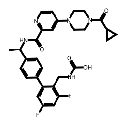 C[C@@H](NC(=O)c1cc(N2CCN(C(=O)C3CC3)CC2)ccn1)c1ccc(-c2cc(F)cc(F)c2CNC(=O)O)cc1